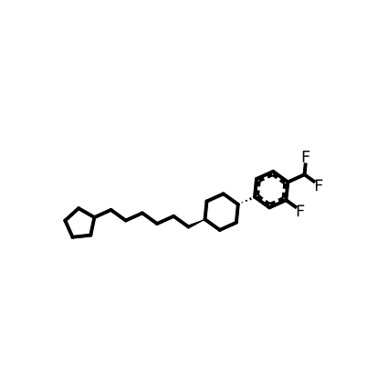 Fc1cc([C@H]2CC[C@H](CCCCCCC3CCCC3)CC2)ccc1C(F)F